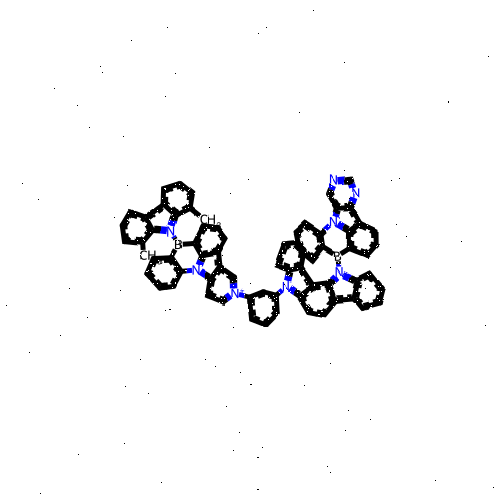 Cc1cccc2c3cccc(C)c3n(B3c4ccccc4-n4c5cc[n+](-c6cccc(-n7c8ccccc8c8c9c(ccc87)c7ccccc7n9B7c8ccccc8-n8c9cncnc9c9cccc7c98)c6)cc5c5cccc3c54)c12